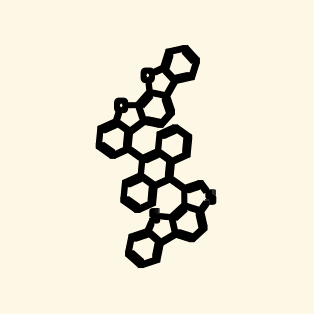 c1ccc2c(c1)oc1c2ccc2c1oc1cccc(-c3c4ccccc4c(-c4csc5ccc6c7ccccc7sc6c45)c4ccccc34)c12